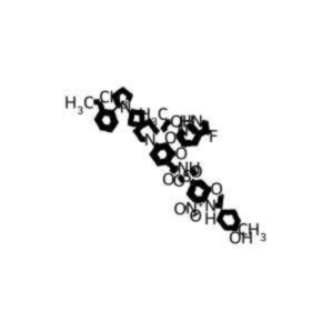 CC(C)c1ccccc1[C@H]1CCCN1C1CC2(CCN(c3ccc(C(=O)NS(=O)(=O)c4cc5c(c([N+](=O)[O-])c4)N[C@@H](C4CCC(C)(O)CC4)CO5)c(Oc4cc5c(F)c[nH]c5nc4OC[C@H](C)O)c3)CC2)C1